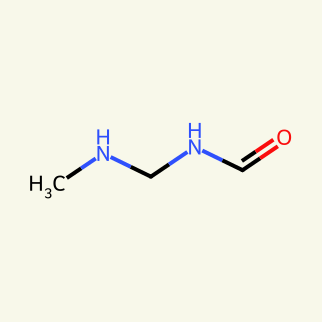 CNCNC=O